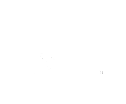 O=C(Nc1ccccc1)OCCCCCC=C(c1ccccc1)c1cccnc1